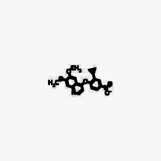 COc1cc2nccc(Oc3ccc([N+](=O)[O-])cc3C3CC3)c2cc1OC